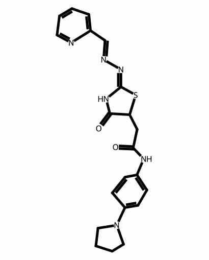 O=C(CC1S/C(=N/N=C/c2ccccn2)NC1=O)Nc1ccc(N2CCCC2)cc1